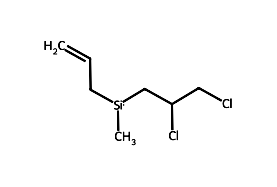 C=CC[Si](C)CC(Cl)CCl